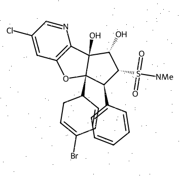 CNS(=O)(=O)[C@H]1[C@@H](O)[C@@]2(O)c3ncc(Cl)cc3O[C@@]2(C2C=CC(Br)=CC2)[C@@H]1c1ccccc1